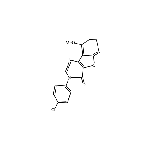 COc1cccc2sc3c(=O)n(-c4ccc(Cl)cc4)cnc3c12